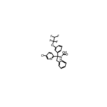 O=C(O)NC(Cc1ccccc1)(c1cccc(OC(F)(F)C(F)F)c1)c1ccc(Cl)cn1